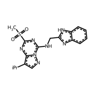 CC(C)c1cnn2c(NCc3nc4ccccc4[nH]3)nc(S(C)(=O)=O)nc12